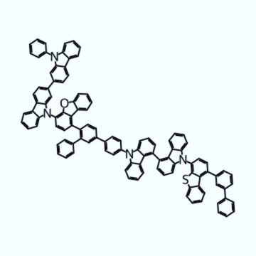 c1ccc(-c2cccc(-c3ccc(-n4c5ccccc5c5c(-c6cccc7c6c6ccccc6n7-c6ccc(-c7ccc(-c8ccc(-n9c%10ccccc%10c%10ccc(-c%11ccc%12c%13ccccc%13n(-c%13ccccc%13)c%12c%11)cc%109)c9oc%10ccccc%10c89)c(-c8ccccc8)c7)cc6)cccc54)c4sc5ccccc5c34)c2)cc1